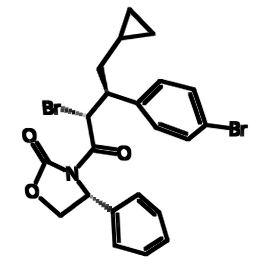 O=C1OC[C@@H](c2ccccc2)N1C(=O)[C@H](Br)[C@@H](CC1CC1)c1ccc(Br)cc1